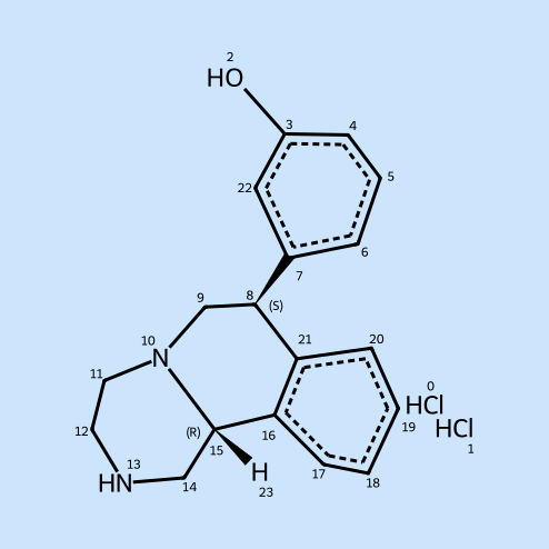 Cl.Cl.Oc1cccc([C@@H]2CN3CCNC[C@H]3c3ccccc32)c1